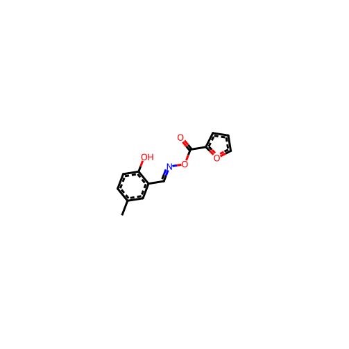 Cc1ccc(O)c(/C=N/OC(=O)c2ccco2)c1